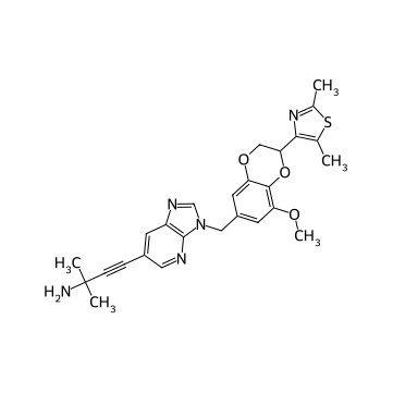 COc1cc(Cn2cnc3cc(C#CC(C)(C)N)cnc32)cc2c1OC(c1nc(C)sc1C)CO2